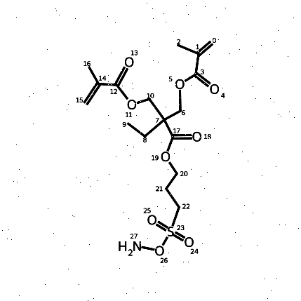 C=C(C)C(=O)OCC(CC)(COC(=O)C(=C)C)C(=O)OCCCS(=O)(=O)ON